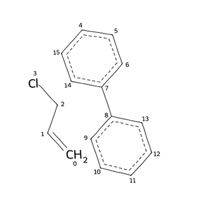 C=CCCl.c1ccc(-c2ccccc2)cc1